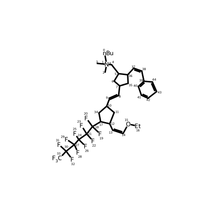 CCCC[N+](C)(C)CC1CC(/C=C/C2CC(/C=C\OCC)C(C(F)(F)C(F)(F)C(F)(F)C(F)(F)C(F)(F)C(F)(F)F)C2)CC1/C=C\c1ccccc1